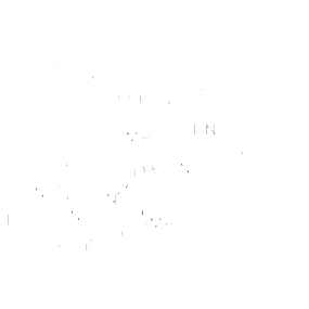 CC[C@H](C)[C@@H]([C@@H](CC(=O)N1CCC[C@H]1[C@H](OC)[C@@H](C)C(=O)N[C@H](C)[C@@H](O)c1ccccc1)OC)N(C)C(=O)[C@@H](NC(=O)C(C(C)C)N(C)C(=O)OCc1ccc(OS(=O)(=O)O)c(C(C)(C)C)c1)C(C)C